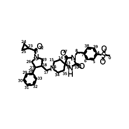 CS(=O)(=O)c1ccc(CN2C(=O)NC3(CCN(CC4CN(C(=O)C5CC5)CC4c4ccccc4)CC3)C2=O)cc1